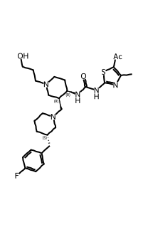 CC(=O)c1sc(NC(=O)N[C@@H]2CCN(CCCO)C[C@@H]2CN2CCC[C@@H](Cc3ccc(F)cc3)C2)nc1C